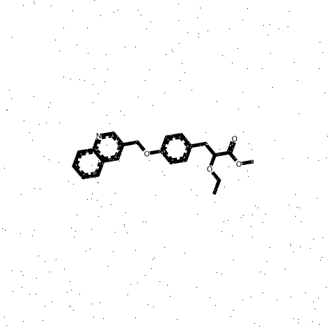 CCOC(Cc1ccc(OCc2cnc3ccccc3c2)cc1)C(=O)OC